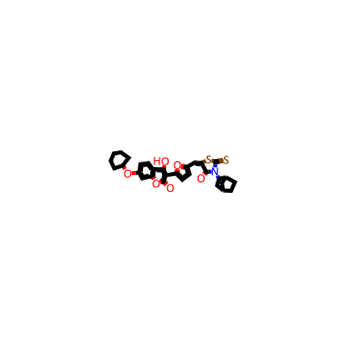 O=C1/C(=C\c2ccc(-c3c(O)c4ccc(OC5CCCCC5)cc4oc3=O)o2)SC(=S)N1C1CC2CCC1C2